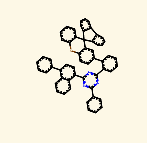 c1ccc(-c2nc(-c3ccccc3-c3ccc4c(c3)C3(c5ccccc5S4)c4ccccc4-c4ccccc43)nc(-c3ccc(-c4ccccc4)c4ccccc34)n2)cc1